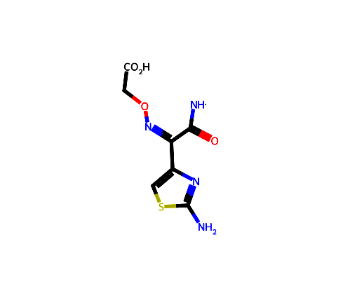 [NH]C(=O)C(=NOCC(=O)O)c1csc(N)n1